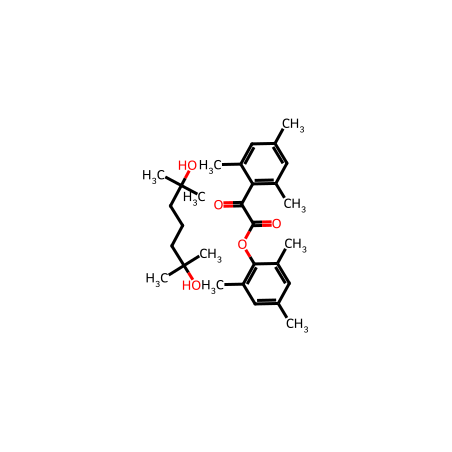 CC(C)(O)CCCC(C)(C)O.Cc1cc(C)c(OC(=O)C(=O)c2c(C)cc(C)cc2C)c(C)c1